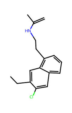 C=C(C)NCCc1cccc2cc(Cl)c(CC)cc12